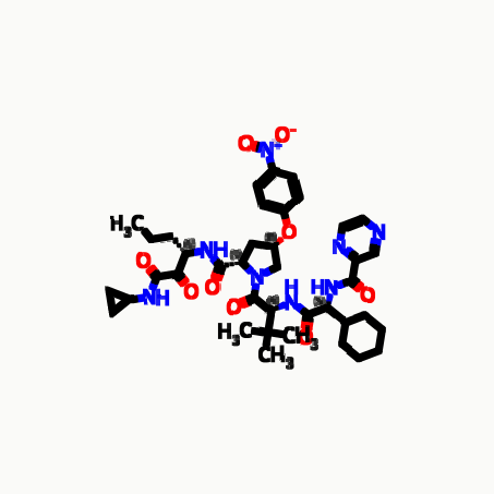 CCC[C@H](NC(=O)[C@@H]1C[C@@H](Oc2ccc([N+](=O)[O-])cc2)CN1C(=O)[C@@H](NC(=O)[C@@H](NC(=O)c1cnccn1)C1CCCCC1)C(C)(C)C)C(=O)C(=O)NC1CC1